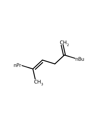 C=C(CC=C(C)CCC)CCCC